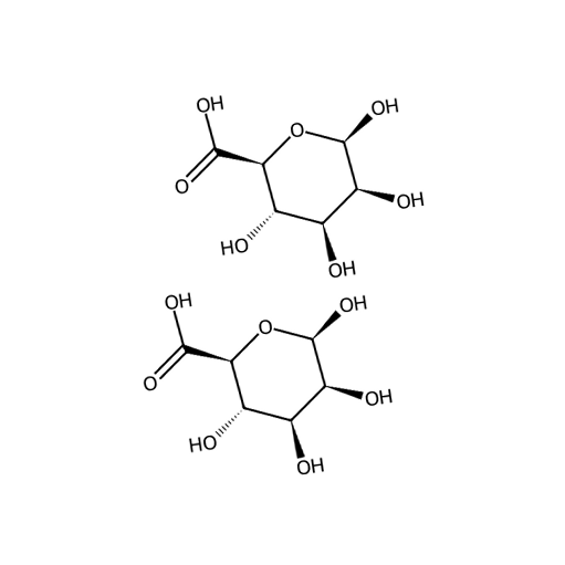 O=C(O)[C@H]1O[C@@H](O)[C@@H](O)[C@@H](O)[C@@H]1O.O=C(O)[C@H]1O[C@@H](O)[C@@H](O)[C@@H](O)[C@@H]1O